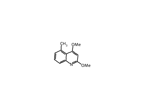 COc1cc(OC)c2c(C)cccc2n1